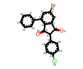 O=C1c2cc(Br)cc(-c3ccccc3)c2C(=O)C1c1ccc(Cl)cc1